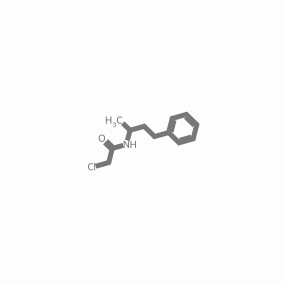 CC(CCc1ccccc1)NC(=O)CCl